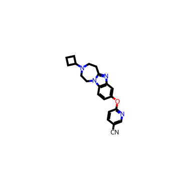 N#Cc1ccc(Oc2ccc3c(c2)nc2n3CCN(C3CCC3)CC2)nc1